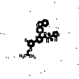 CC(C)COc1cc(F)cc(-c2ccc(C(=O)NS(=O)(=O)c3ccn[nH]3)c(N3CCC4(CC3)OCc3ccccc34)n2)c1